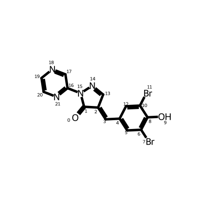 O=C1C(=Cc2cc(Br)c(O)c(Br)c2)C=NN1c1cnccn1